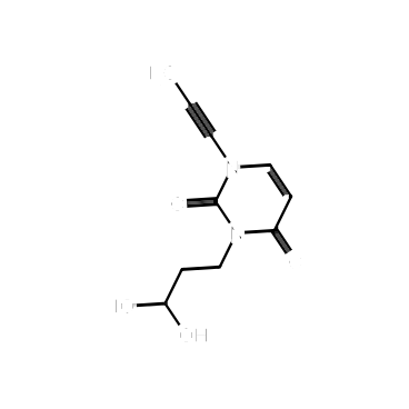 CC#Cn1ccc(=O)n(CCC(O)O)c1=O